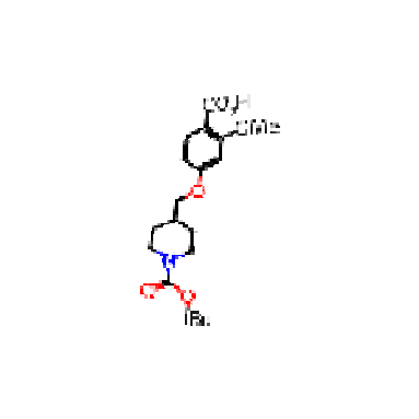 COc1cc(OCC2CCN(C(=O)OC(C)(C)C)CC2)ccc1C(=O)O